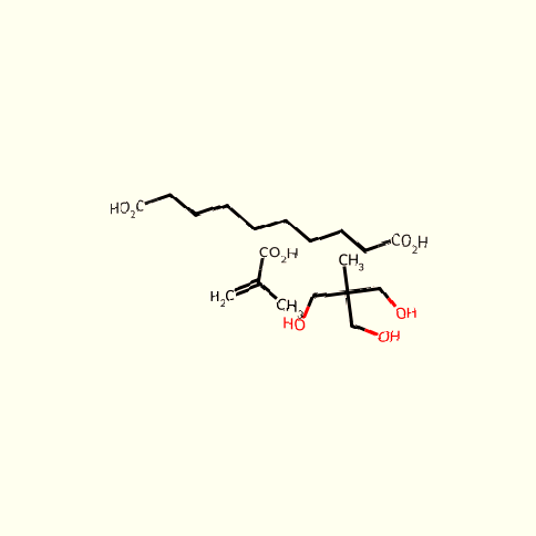 C=C(C)C(=O)O.CC(CO)(CO)CO.O=C(O)CCCCCCCCC(=O)O